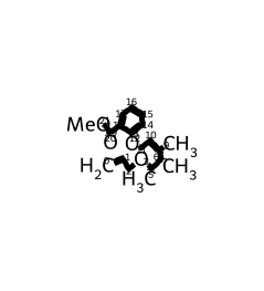 C=CCOC(C)C(C)C(C)=CCOc1ccccc1C(=O)OC